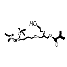 C=C(C)C(=O)OCC(COCCC[SiH](O[Si](C)(C)C)O[Si](C)(C)C)OCCO